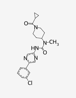 CN(C(=O)Nc1cnc(-c2cccc(Cl)c2)cn1)C1CCN(C(=O)C2CC2)CC1